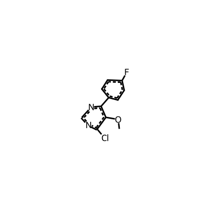 COc1c(Cl)ncnc1-c1ccc(F)cc1